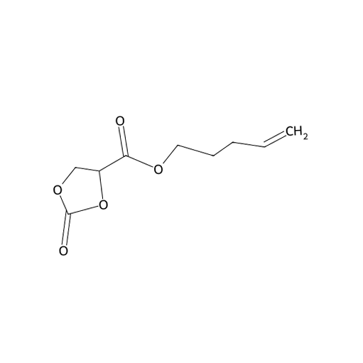 C=CCCCOC(=O)C1COC(=O)O1